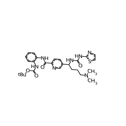 CN(C)CCCC(NC(=O)Nc1nccs1)c1ccc(C(=O)Nc2ccccc2NC(=O)OC(C)(C)C)nc1